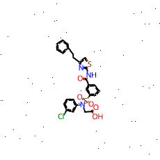 O=C(O)CN(c1cccc(Cl)c1)S(=O)(=O)c1cccc(C(=O)Nc2nc(CCc3ccccc3)cs2)c1